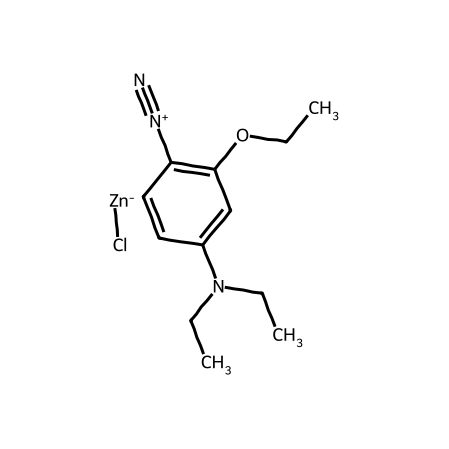 CCOc1cc(N(CC)CC)ccc1[N+]#N.[Cl][Zn-]